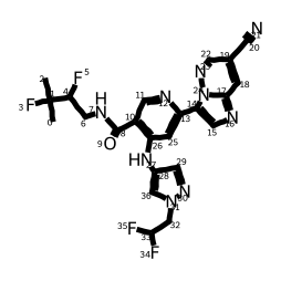 CC(C)(F)C(F)CNC(=O)c1cnc(-c2cnc3cc(C#N)cnn23)cc1Nc1cnn(CC(F)F)c1